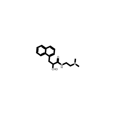 CN(C)CCNC(=O)C(C=O)Cc1cccc2ccccc12